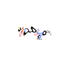 Cc1ccc(-n2nc(C(C)(C)C)cc2NC(=O)Nc2cccc(CC3CCN(S(=O)(=O)c4ccsc4)CC3)c2)cc1